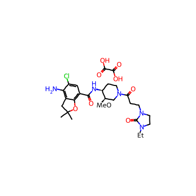 CCN1CCN(CCC(=O)N2CC[C@H](NC(=O)c3cc(Cl)c(N)c4c3OC(C)(C)C4)[C@H](OC)C2)C1=O.O=C(O)C(=O)O